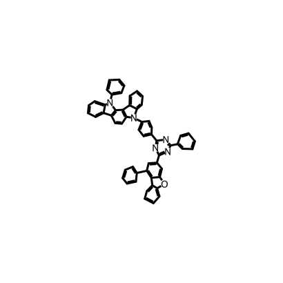 c1ccc(-c2nc(-c3ccc(-n4c5ccccc5c5c4ccc4c6ccccc6n(-c6ccccc6)c45)cc3)nc(-c3cc(-c4ccccc4)c4c(c3)oc3ccccc34)n2)cc1